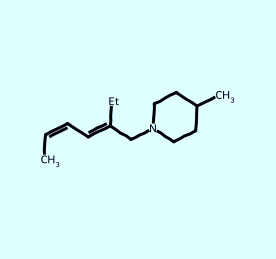 C/C=C\C=C(/CC)CN1CCC(C)CC1